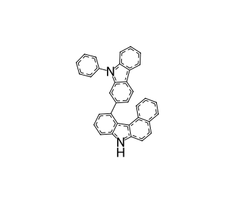 c1ccc(-n2c3ccccc3c3ccc(-c4cccc5[nH]c6ccc7ccccc7c6c45)cc32)cc1